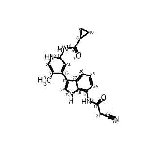 CC1=CNC(NC(=O)C2CC2)C=C1c1c[nH]c2c(NC(=O)CC#N)cccc12